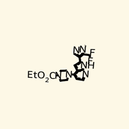 CCOC(=O)N1CCN(c2ccnc3[nH]c(-c4cnn(C)c4C(F)F)cc23)CC1